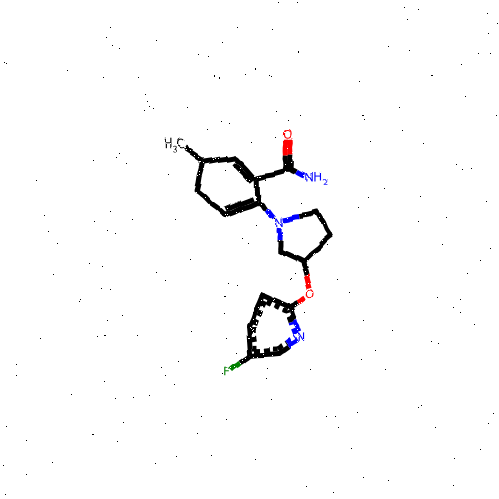 CC1C=C(C(N)=O)C(N2CCC(Oc3ccc(F)cn3)C2)=CC1